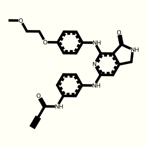 C#CC(=O)Nc1cccc(Nc2cc3c(c(Nc4ccc(OCCOC)cc4)n2)C(=O)NC3)c1